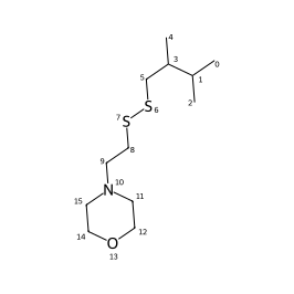 CC(C)C(C)CSSCCN1CCOCC1